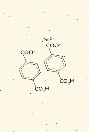 O=C([O-])c1ccc(C(=O)O)cc1.O=C([O-])c1ccc(C(=O)O)cc1.[Sr+2]